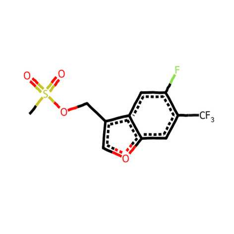 CS(=O)(=O)OCc1coc2cc(C(F)(F)F)c(F)cc12